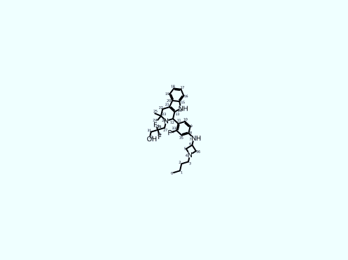 CCCCN1CC(Nc2ccc(C3c4[nH]c5ccccc5c4CC(C)(C)N3CC(F)(F)CO)c(F)c2)C1